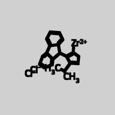 CC(C)C1=CC[C]([Zr+2])=C1C1c2ccccc2-c2ccccc21.[Cl-].[Cl-]